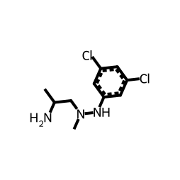 CC(N)CN(C)Nc1cc(Cl)cc(Cl)c1